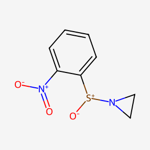 O=[N+]([O-])c1ccccc1[S+]([O-])N1CC1